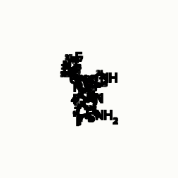 N#Cc1c(N)sc2c(F)ccc(-c3ncc4c(N5C6CNCC5COC6)nc(OC[C@@]56CCCN5C[C@H](F)C6)nc4c3F)c12